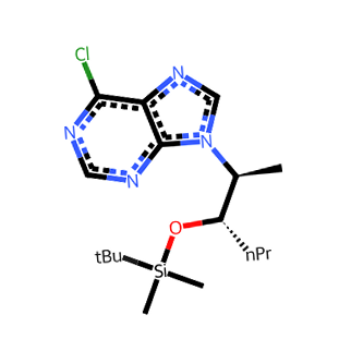 CCC[C@H](O[Si](C)(C)C(C)(C)C)[C@H](C)n1cnc2c(Cl)ncnc21